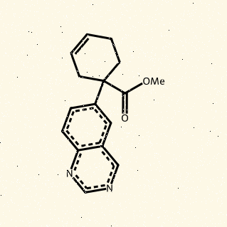 COC(=O)C1(c2ccc3ncncc3c2)CC=CCC1